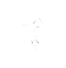 COc1ccccc1NCc1c[nH]nc1C(C)(C)C